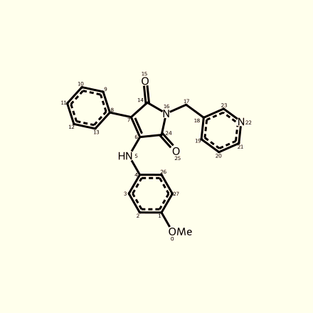 COc1ccc(NC2=C(c3ccccc3)C(=O)N(Cc3cccnc3)C2=O)cc1